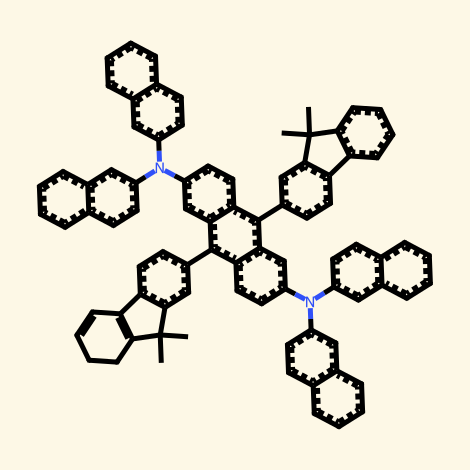 CC1(C)C2=C(C=CCC2)c2ccc(-c3c4ccc(N(c5ccc6ccccc6c5)c5ccc6ccccc6c5)cc4c(-c4ccc5c(c4)C(C)(C)c4ccccc4-5)c4ccc(N(c5ccc6ccccc6c5)c5ccc6ccccc6c5)cc34)cc21